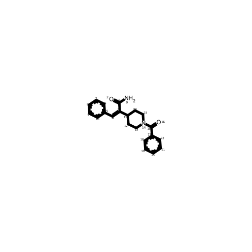 NC(=O)/C(=C\c1ccccc1)C1CCN(C(=O)c2ccccc2)CC1